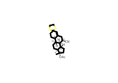 CC(=O)O[C@@]1(C)CC[C@H]2[C@@H]3[C@H](C#N)CC4=CC5(CC[C@]4(C)[C@H]3CC[C@@]21C)SCCS5